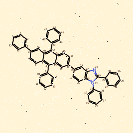 c1ccc(-c2ccc3c(-c4ccccc4)c4cc(-c5ccc6c(c5)nc(-c5ccccc5)n6-c5ccccc5)ccc4c(-c4ccccc4)c3c2)cc1